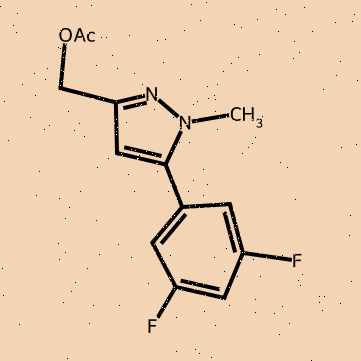 CC(=O)OCc1cc(-c2cc(F)cc(F)c2)n(C)n1